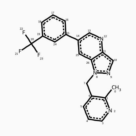 Cc1ncccc1Cn1ncc2ncc(-c3cccc(C(F)(F)F)c3)cc21